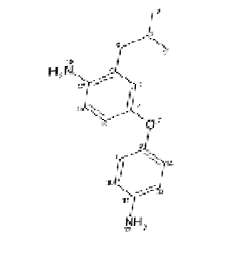 CC(C)Cc1cc(Oc2ccc(N)cc2)ccc1N